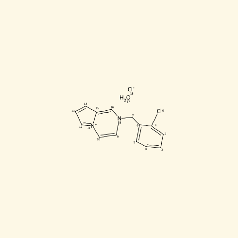 Clc1ccccc1Cn1cc[n+]2cccc-2c1.O.[Cl-]